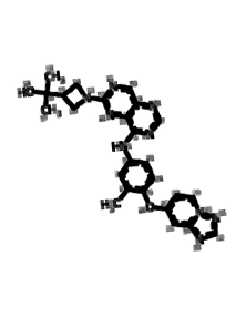 Cc1cc(Nc2ncnc3cnc(N4CC(C(C)(C)O)C4)nc23)ccc1Oc1ccn2ncnc2c1